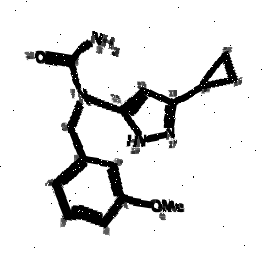 COc1cccc(CN(C(N)=O)c2cc(C3CC3)n[nH]2)c1